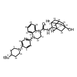 CC(C)(C)C1CCN(c2ccc(N3CCN(C(=O)NC4[C@@H]5CC6C[C@H]4CC(O)(C6)C5)c4ccccc43)nc2)CC1